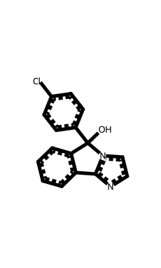 OC1(c2ccc(Cl)cc2)c2ccccc2-c2nccn21